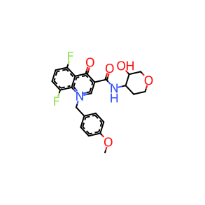 COc1ccc(Cn2cc(C(=O)NC3CCOCC3O)c(=O)c3c(F)ccc(F)c32)cc1